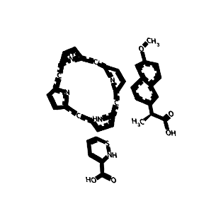 C1=Cc2cc3ccc(cc4nc(cc5ccc(cc1n2)[nH]5)C=C4)[nH]3.COc1ccc2cc([C@H](C)C(=O)O)ccc2c1.O=C(O)C1=CC=CSN1